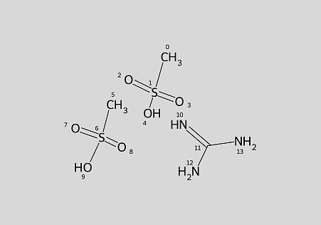 CS(=O)(=O)O.CS(=O)(=O)O.N=C(N)N